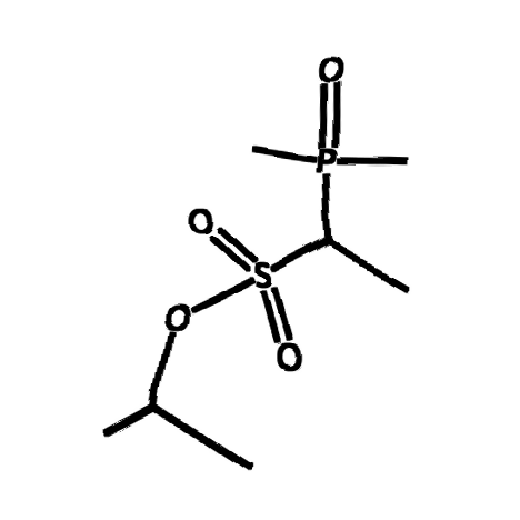 CC(C)OS(=O)(=O)C(C)P(C)(C)=O